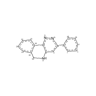 c1ccc(-c2cc3c(nn2)-c2ccccc2CN3)cc1